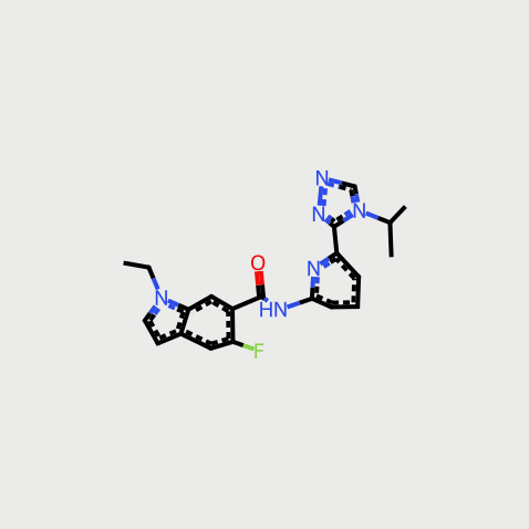 CCn1ccc2cc(F)c(C(=O)Nc3cccc(-c4nncn4C(C)C)n3)cc21